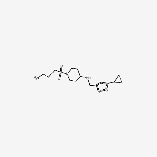 NCCCS(=O)(=O)N1CCC(NCc2cc(C3CC3)on2)CC1